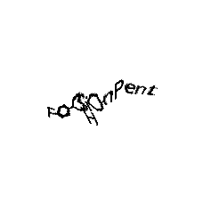 CCCCC[C@H]1CC[C@H]([SiH]2CCC(c3ccc(F)cc3)CC2)CC1